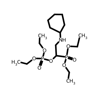 CCOP(=O)(OCC)OC(CNC1CCCCC1)P(=O)(OCC)OCC